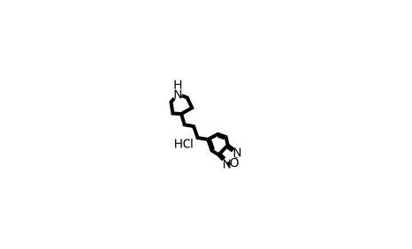 Cl.c1cc2nonc2cc1CCCC1CCNCC1